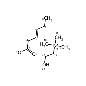 CCC=CCC(=O)[O-].C[N+](C)(C)CCO